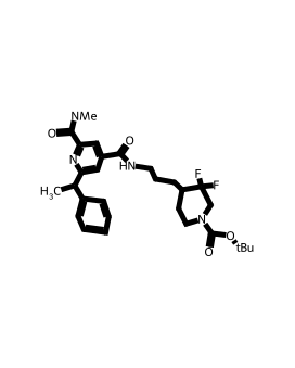 CNC(=O)c1cc(C(=O)NCCCC2CCN(C(=O)OC(C)(C)C)CC2(F)F)cc(C(C)c2ccccc2)n1